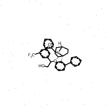 OCC(O[C@@H]1CC[C@H]2CC[C@]1(c1ccccc1-c1ccccc1)N2Cc1ccccc1)c1cc(C(F)(F)F)cc(C(F)(F)F)c1